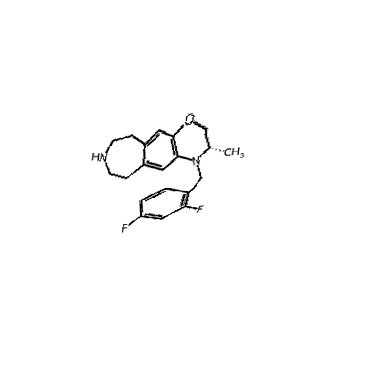 C[C@H]1COc2cc3c(cc2N1Cc1ccc(F)cc1F)CCNCC3